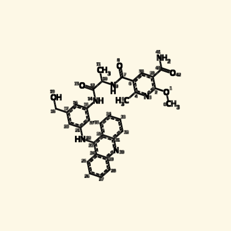 COc1nc(C)c(C(=O)NC(C)C(=O)Nc2cc(CO)cc(Nc3c4ccccc4nc4ccccc34)c2)cc1C(N)=O